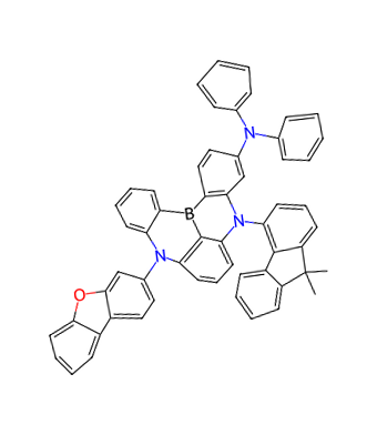 CC1(C)c2ccccc2-c2c(N3c4cc(N(c5ccccc5)c5ccccc5)ccc4B4c5ccccc5N(c5ccc6c(c5)oc5ccccc56)c5cccc3c54)cccc21